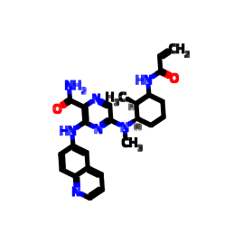 C=CC(=O)NC1CCC[C@@H](N(C)c2cnc(C(N)=O)c(Nc3ccc4ncccc4c3)n2)[C@H]1C